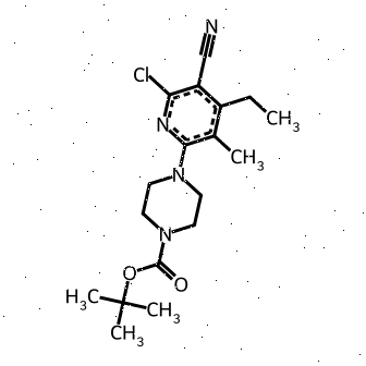 CCc1c(C)c(N2CCN(C(=O)OC(C)(C)C)CC2)nc(Cl)c1C#N